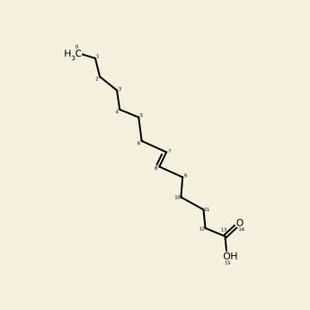 CCCCCCC/C=C/CCCCC(=O)O